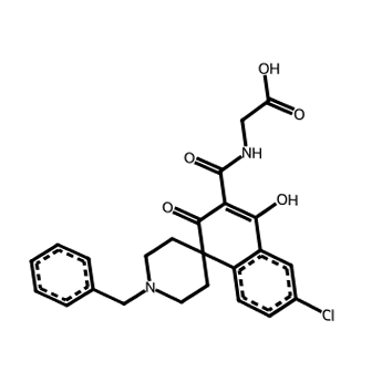 O=C(O)CNC(=O)C1=C(O)c2cc(Cl)ccc2C2(CCN(Cc3ccccc3)CC2)C1=O